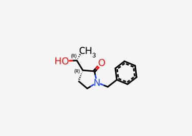 C[C@@H](O)[C@H]1CCN(Cc2ccccc2)C1=O